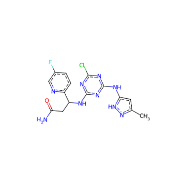 Cc1cc(Nc2nc(Cl)nc(NC(CC(N)=O)c3ccc(F)cn3)n2)[nH]n1